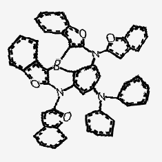 c1ccc(N(c2ccccc2)c2cc3c4c(c2)N(c2cc5ccccc5o2)c2oc5ccccc5c2B4c2c(oc4ccccc24)N3c2cc3ccccc3o2)cc1